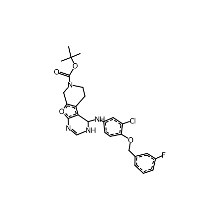 CC(C)(C)OC(=O)N1CCc2c(oc3c2C(Nc2ccc(OCc4cccc(F)c4)c(Cl)c2)NC=N3)C1